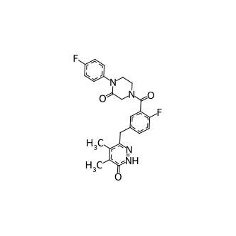 Cc1c(Cc2ccc(F)c(C(=O)N3CCN(c4ccc(F)cc4)C(=O)C3)c2)n[nH]c(=O)c1C